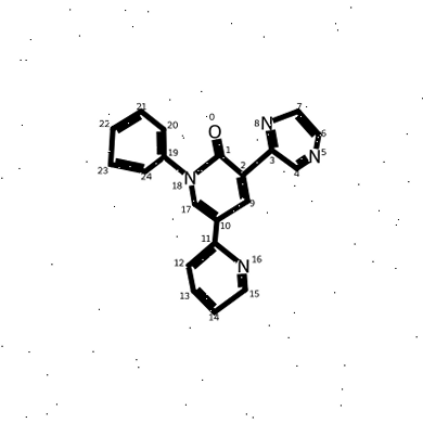 O=c1c(-c2cnccn2)cc(-c2ccccn2)cn1-c1ccccc1